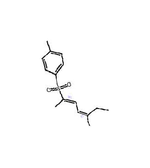 CC/C(C)=C\C=C(/C)S(=O)(=O)c1ccc(C)cc1